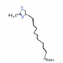 CCCCCCCCCCCCCCCCCCc1c[nH]c(C)n1